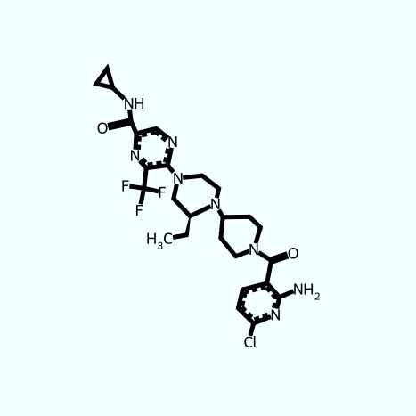 CC[C@H]1CN(c2ncc(C(=O)NC3CC3)nc2C(F)(F)F)CCN1C1CCN(C(=O)c2ccc(Cl)nc2N)CC1